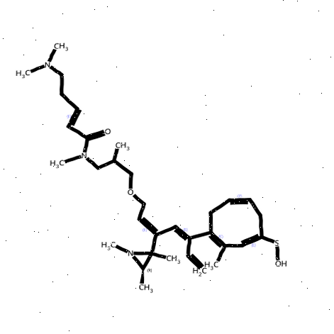 C=CC(=C\C(=C/COCC(C)CN(C)C(=O)/C=C/CCN(C)C)C1(C)[C@@H](C)N1C)/C1=C(C)/C=C(/SO)C/C=C\C1